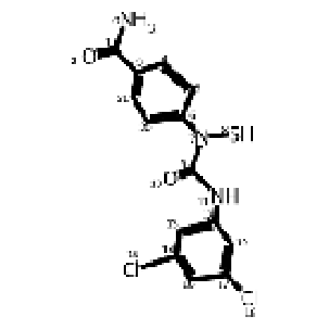 NC(=O)c1ccc(N(S)C(=O)Nc2cc(Cl)cc(Cl)c2)cc1